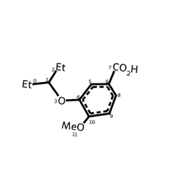 CCC(CC)Oc1cc(C(=O)O)ccc1OC